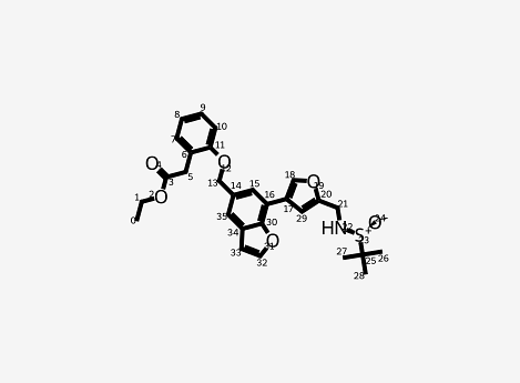 CCOC(=O)Cc1ccccc1OCc1cc(-c2coc(CN[S@@+]([O-])C(C)(C)C)c2)c2occc2c1